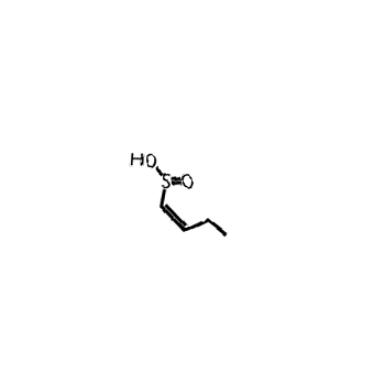 CC/C=C\S(=O)O